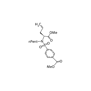 C=CC[C@@H](C(=O)OC)N(CCCCC)S(=O)(=O)c1ccc(C(=O)OC)cc1